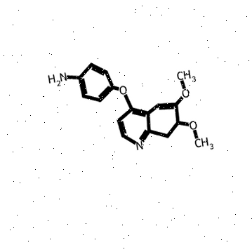 COC1=Cc2c(Oc3ccc(N)cc3)ccnc2CC1OC